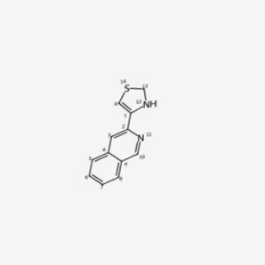 C1=C(c2cc3ccccc3cn2)NCS1